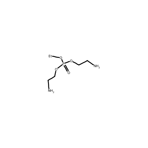 CCOP(=O)(OCCN)OCCN